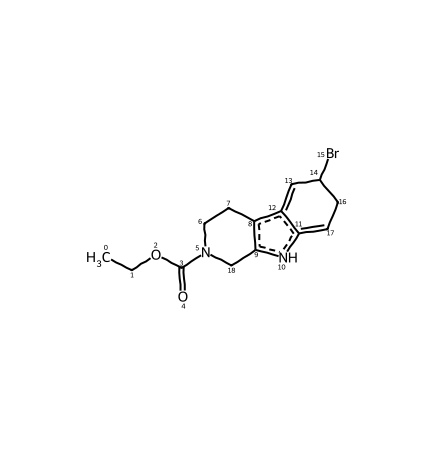 CCOC(=O)N1CCc2c([nH]c3c2=CC(Br)CC=3)C1